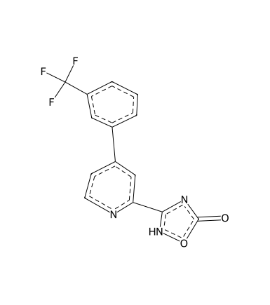 O=c1nc(-c2cc(-c3cccc(C(F)(F)F)c3)ccn2)[nH]o1